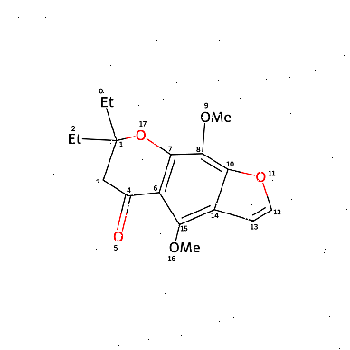 CCC1(CC)CC(=O)c2c(c(OC)c3occc3c2OC)O1